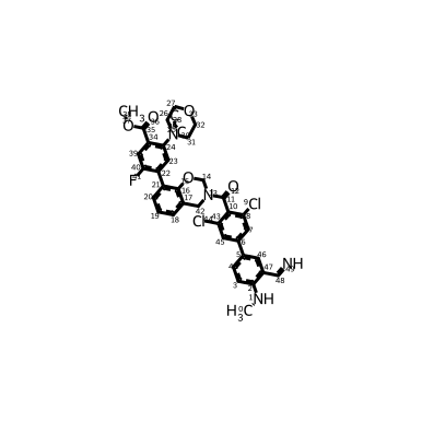 CNc1ccc(-c2cc(Cl)c(C(=O)N3COc4c(cccc4-c4cc(N5CC6CCCC5CO6)c(C(=O)OC)cc4F)C3)c(Cl)c2)cc1C=N